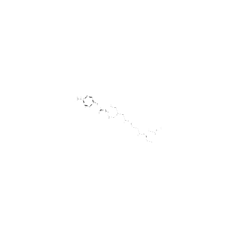 CCN(CCO)CCCOCCC1CCN(C(=O)Oc2ccc(Cl)cc2)CC1